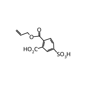 C=CCOC(=O)c1ccc(S(=O)(=O)O)cc1C(=O)O